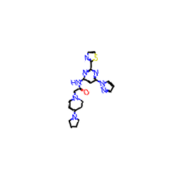 O=C(CN1CCC(N2CCCC2)CC1)Nc1cc(-n2cccn2)nc(-c2nccs2)n1